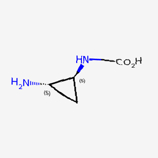 N[C@H]1C[C@@H]1NC(=O)O